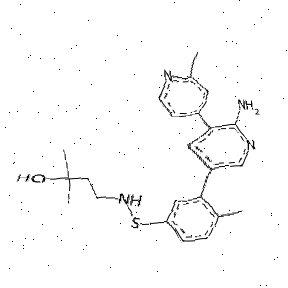 Cc1cc(-c2cc(-c3cc(SNCCC(C)(C)O)ccc3C)cnc2N)ccn1